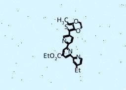 CCOC(=O)c1cc(-c2ccc(-c3sc(C)c4c3OCCO4)cn2)nc(-c2cc(CC)ccn2)c1